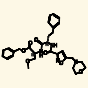 COC[C@H](NC(=O)[C@H](CCc1ccccc1)NC(=O)c1cc(CN2CCOCC2)on1)C(=O)OCc1ccccc1